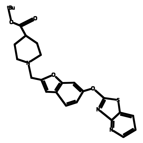 CC(C)(C)OC(=O)C1CCN(Cc2cc3ccc(Oc4nc5ncccc5s4)cc3o2)CC1